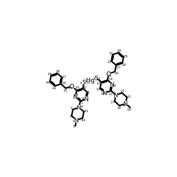 CN1CCN(c2ncc([S][Hg][S]c3cnc(N4CCN(C)CC4)nc3OCc3ccccc3)c(OCc3ccccc3)n2)CC1